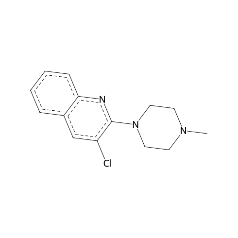 CN1CCN(c2nc3ccccc3cc2Cl)CC1